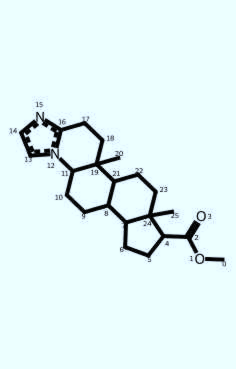 COC(=O)C1CCC2C3CCC4n5ccnc5CCC4(C)C3CCC12C